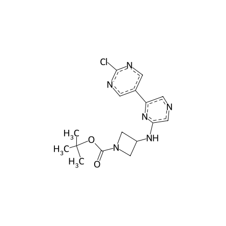 CC(C)(C)OC(=O)N1CC(Nc2cncc(-c3cnc(Cl)nc3)n2)C1